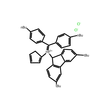 CCCCc1ccc([C](c2ccc(CCCC)cc2)=[Hf+2]([C]2=CC=CC2)[CH]2c3ccc(C(C)(C)C)cc3-c3cc(C(C)(C)C)ccc32)cc1.[Cl-].[Cl-]